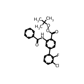 CC(C)(C)OOC(=O)c1ccc(-c2cccc(Cl)c2F)cc1NC(=O)c1ccccc1